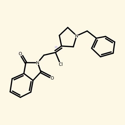 O=C1c2ccccc2C(=O)N1C/C(Cl)=C1\CCN(Cc2ccccc2)C1